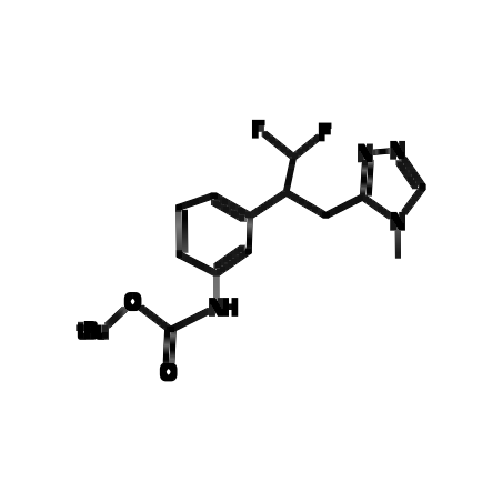 Cn1cnnc1CC(c1cccc(NC(=O)OC(C)(C)C)c1)C(F)F